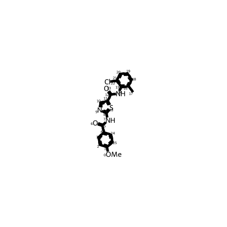 COc1ccc(C(=O)Nc2ncc(C(=O)Nc3c(C)cccc3Cl)s2)cc1